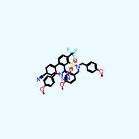 COc1ccc(CN(Cc2ccc(OC)cc2)S(=O)(=O)c2c(C(F)(F)F)ccc(C3=CCC(C#N)CC3)c2-c2nnnn2Cc2ccc(OC)cc2)cc1